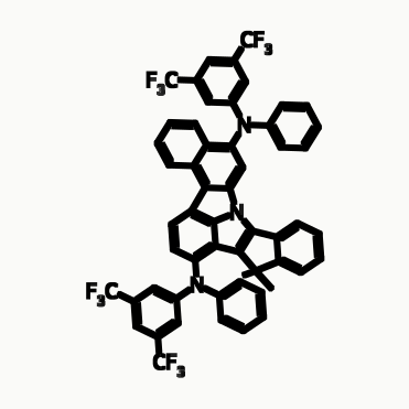 CC1(C)c2ccccc2-c2c1c1c(N(c3ccccc3)c3cc(C(F)(F)F)cc(C(F)(F)F)c3)ccc3c4c5ccccc5c(N(c5ccccc5)c5cc(C(F)(F)F)cc(C(F)(F)F)c5)cc4n2c13